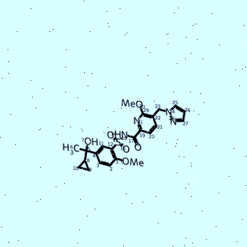 COc1ccc(C(C)(O)C2CC2)cc1S(=O)(=O)NC(=O)c1ccc(Cn2cccn2)c(OC)n1